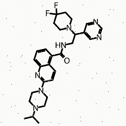 CC(C)N1CCN(c2ccc3c(C(=O)NCC(c4cncnc4)N4CCC(F)(F)CC4)cccc3n2)CC1